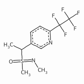 CN=S(C)(=O)C(C)c1ccc(C(F)(F)C(F)(F)F)nc1